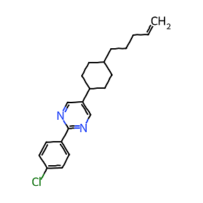 C=CCCCC1CCC(c2cnc(-c3ccc(Cl)cc3)nc2)CC1